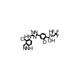 COc1cc(-c2nc(Nc3ccc4[nH]ncc4c3Cl)n(C)n2)ccc1C(O)NCC(F)(F)F